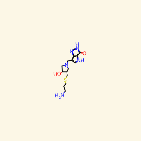 NCCCSC[C@H]1CN(Cc2c[nH]c3c(=O)[nH]cnc23)C[C@@H]1O